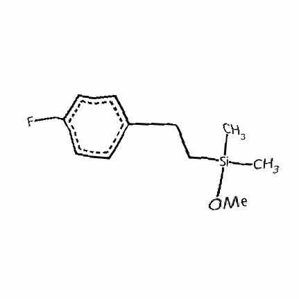 CO[Si](C)(C)CCc1ccc(F)cc1